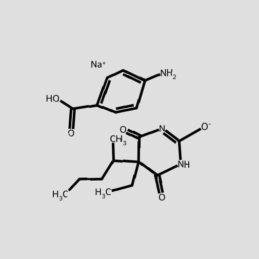 CCCC(C)C1(CC)C(=O)N=C([O-])NC1=O.Nc1ccc(C(=O)O)cc1.[Na+]